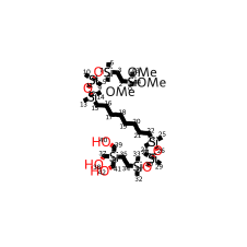 CO[Si](CC[Si](C)(C)O[Si](C)(C)O[Si](C)(C)CCCCCCCC[Si](C)(C)O[Si](C)(C)O[Si](C)(C)CC[Si](CO)(CO)CO)(OC)OC